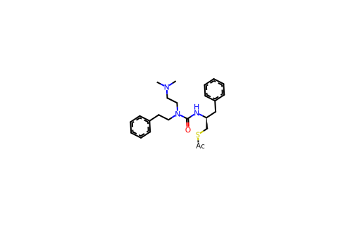 CC(=O)SC[C@H](Cc1ccccc1)NC(=O)N(CCc1ccccc1)CCN(C)C